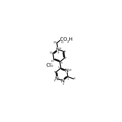 Cc1nncc(-c2cc[n+](CC(=O)O)cc2)n1.[Cl-]